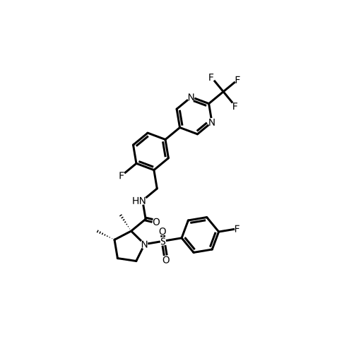 C[C@H]1CCN(S(=O)(=O)c2ccc(F)cc2)[C@]1(C)C(=O)NCc1cc(-c2cnc(C(F)(F)F)nc2)ccc1F